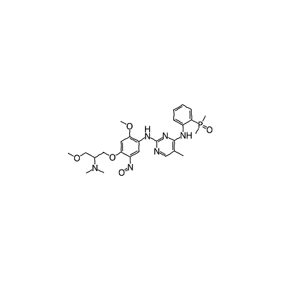 COCC(COc1cc(OC)c(Nc2ncc(C)c(Nc3ccccc3P(C)(C)=O)n2)cc1N=O)N(C)C